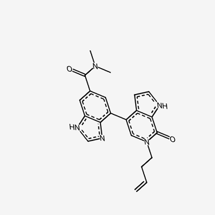 C=CCCn1cc(-c2cc(C(=O)N(C)C)cc3[nH]cnc23)c2cc[nH]c2c1=O